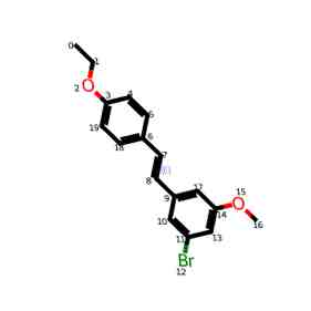 CCOc1ccc(/C=C/c2cc(Br)cc(OC)c2)cc1